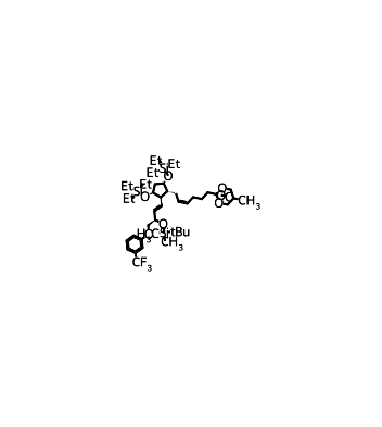 CC[Si](CC)(CC)O[C@H]1C[C@@H](O[Si](CC)(CC)CC)[C@H](C=C[C@H](COc2cccc(C(F)(F)F)c2)O[Si](C)(C)C(C)(C)C)[C@H]1C/C=C\CCCC12OCC(C)(CO1)CO2